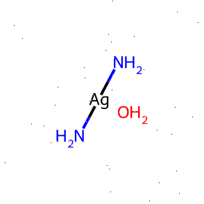 O.[NH2][Ag][NH2]